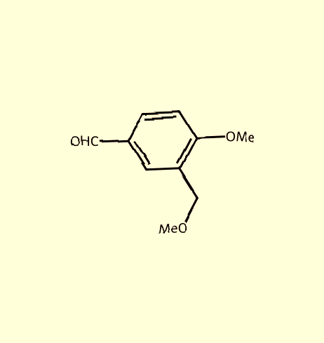 COCc1cc(C=O)ccc1OC